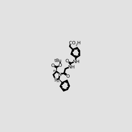 CC(C)(C)OC(=O)[C@@H]1CS[C@H](c2ccccc2)N1C(=O)CNC(=O)Nc1cccc(CC(=O)O)c1